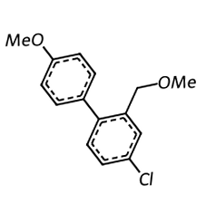 COCc1cc(Cl)ccc1-c1ccc(OC)cc1